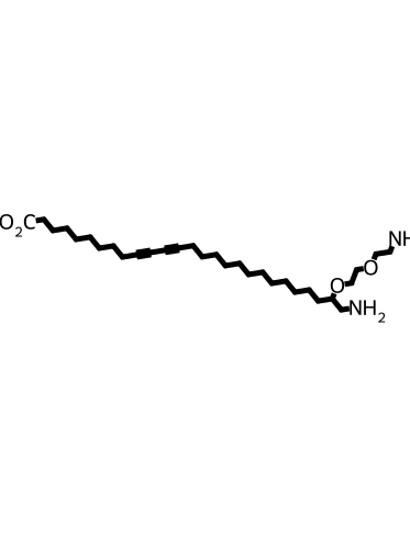 NCCOCCOC(CN)CCCCCCCCCCCCC#CC#CCCCCCCCCC(=O)O